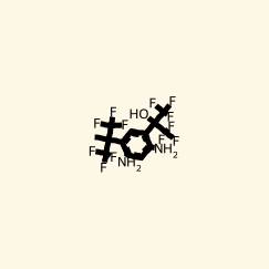 CC(c1cc(C(O)(C(F)(F)F)C(F)(F)F)c(N)cc1N)(C(F)(F)F)C(F)(F)F